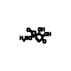 NON1C(=O)CC12C=CC(=O)[C@@H](O)[C@H]2O